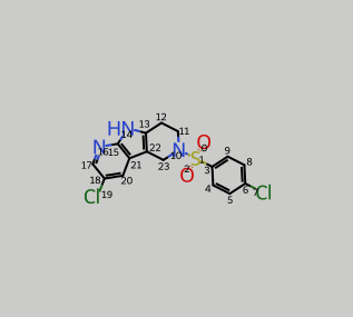 O=S(=O)(c1ccc(Cl)cc1)N1CCc2[nH]c3ncc(Cl)cc3c2C1